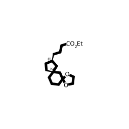 CCOC(=O)CCC[C@@H]1CC[C@@]2(CCCC3(C2)OCCO3)C1